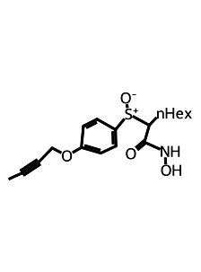 CC#CCOc1ccc([S+]([O-])C(CCCCCC)C(=O)NO)cc1